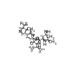 Cc1c(-c2ccc(NC(=O)C(NC(=O)/C(=C/C=N)NC(C)C)C(C3CC3)C3CC3)nc2F)cncc1C(F)F